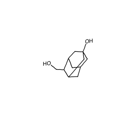 OCC1C2CC3CC1CC(O)(C3)C2